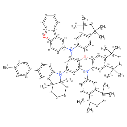 CC(C)(C)c1ccc(-c2ccc3c(c2)C2(C)CCCCC2(C)N3c2cc3c4c(c2)N(c2ccc5oc6ccccc6c5c2)c2cc5c(cc2B4c2cc4c(cc2N3c2ccc3c(c2)C(C)(C)CCC3(C)C)C(C)(C)CCC4(C)C)C(C)(C)CC5(C)C)cc1